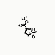 CCOC(=O)[C@@H]1CCP(C)(=O)N1